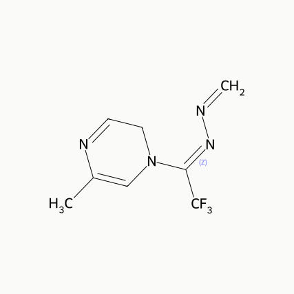 C=N/N=C(\N1C=C(C)N=CC1)C(F)(F)F